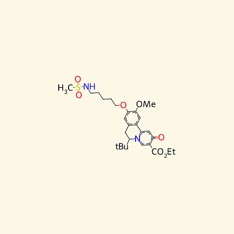 CCOC(=O)c1cn2c(cc1=O)-c1cc(OC)c(OCCCCCNS(C)(=O)=O)cc1CC2C(C)(C)C